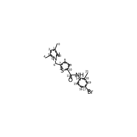 Cc1cc(C)n(Cc2ccc(C(=O)Nc3ccc(Br)cc3C)s2)n1